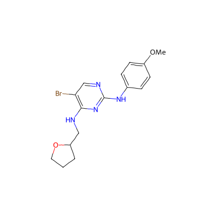 COc1ccc(Nc2ncc(Br)c(NCC3CCCO3)n2)cc1